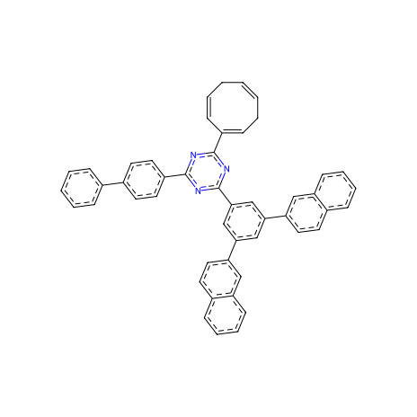 C1=C\C/C=C(c2nc(-c3ccc(-c4ccccc4)cc3)nc(-c3cc(-c4ccc5ccccc5c4)cc(-c4ccc5ccccc5c4)c3)n2)\C=C/C/1